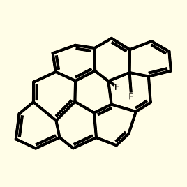 FC12C3=CC=CC1=Cc1ccc4cc5cccc6cc7ccc(c8c7c(c4c1C82F)c56)=C3